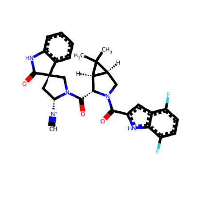 C#[N+][C@@H]1C[C@@]2(CN1C(=O)[C@@H]1[C@@H]3[C@H](CN1C(=O)c1cc4c(F)ccc(F)c4[nH]1)C3(C)C)C(=O)Nc1ccccc12